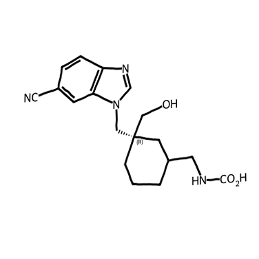 N#Cc1ccc2ncn(C[C@@]3(CO)CCCC(CNC(=O)O)C3)c2c1